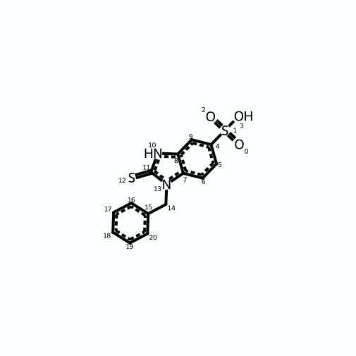 O=S(=O)(O)c1ccc2c(c1)[nH]c(=S)n2Cc1ccccc1